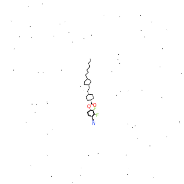 CCCCCCCC1CCC(CCC2CCC(C(=O)Oc3ccc(C#N)c(F)c3F)CC2)CC1